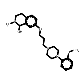 COc1ccccc1N1CCN(CCCOc2ccc3c(c2)C(O)N(C)CC3)CC1